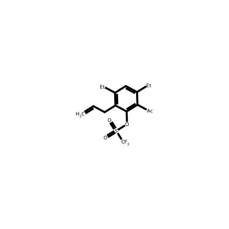 C=CCc1c(CC)cc(CC)c(C(C)=O)c1OS(=O)(=O)C(F)(F)F